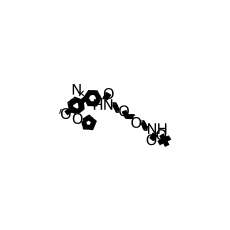 COc1ccc([C@]2(C#N)CC[C@@H](C(=O)NCCOCCOCCNC(=O)OC(C)(C)C)CC2)cc1OC1CCCC1